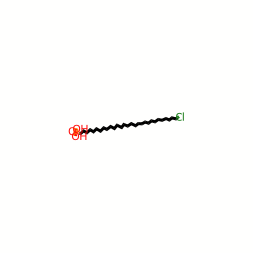 O=P(O)(O)CCCCCCCCCCCCCCCCCCCCCCCCCCCCCCl